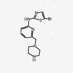 Brc1cnc(Nc2cccc(CN3CCNCC3)n2)s1